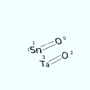 [O]=[Sn].[O]=[Ta]